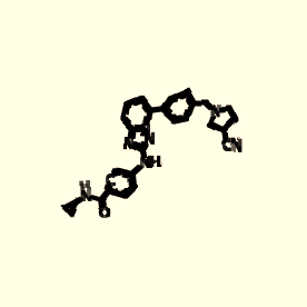 N#CC1CCN(Cc2ccc(-c3cccc4nc(Nc5ccc(C(=O)NC6CC6)cc5)nn34)cc2)C1